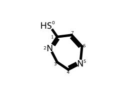 SC1=NCC=NC=C1